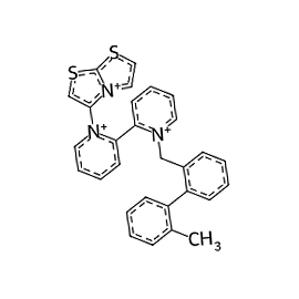 Cc1ccccc1-c1ccccc1C[n+]1ccccc1-c1cccc[n+]1-c1csc2scc[n+]12